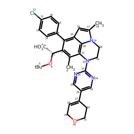 Cc1c([C@H](OC(C)(C)C)C(=O)O)c(-c2ccc(Cl)cc2)c2cc(C)n3c2c1N(c1ncc(C2=CCOCC2)cn1)CC3